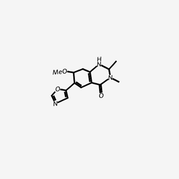 COC1CC2=C(C=C1c1cnco1)C(=O)N(C)C(C)N2